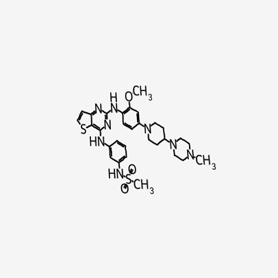 COc1cc(N2CCC(N3CCN(C)CC3)CC2)ccc1Nc1nc(Nc2cccc(NS(C)(=O)=O)c2)c2sccc2n1